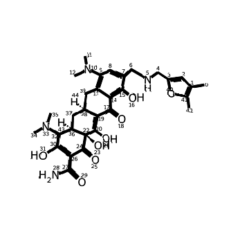 Cc1cc(CNCc2cc(N(C)C)c3c(c2O)C(=O)C2=C(O)[C@]4(O)C(=O)C(C(N)=O)=C(O)C(N(C)C)[C@H]4C[C@H]2C3)oc1C